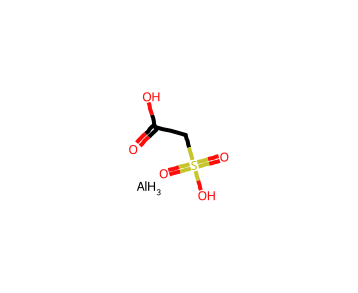 O=C(O)CS(=O)(=O)O.[AlH3]